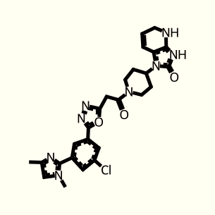 Cc1cn(C)c(-c2cc(Cl)cc(-c3nnc(CC(=O)N4CCC(n5c6c([nH]c5=O)NCC=C6)CC4)o3)c2)n1